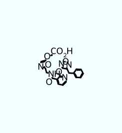 O=C(O)COc1cnc(CNC(=O)c2cccnc2Oc2nonc2Cc2ccccc2)o1